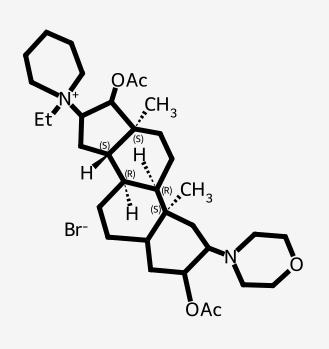 CC[N+]1(C2C[C@H]3[C@@H]4CCC5CC(OC(C)=O)C(N6CCOCC6)C[C@]5(C)[C@@H]4CC[C@]3(C)C2OC(C)=O)CCCCC1.[Br-]